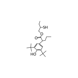 CCCC(C(=O)OCC(S)CC)c1cc(C(C)(C)C)c(O)c(C(C)(C)C)c1